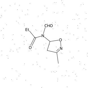 CCC(=O)N(C=O)C1CC(C)=NO1